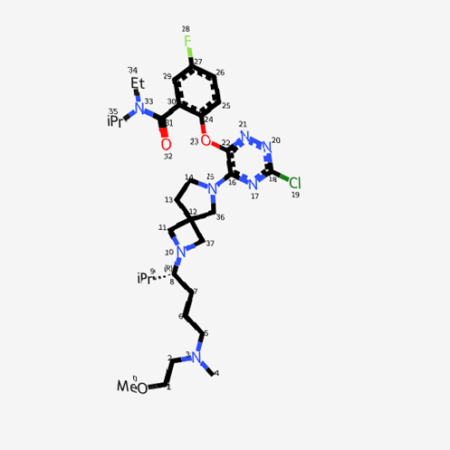 COCCN(C)CCC[C@H](C(C)C)N1CC2(CCN(c3nc(Cl)nnc3Oc3ccc(F)cc3C(=O)N([13CH2][13CH3])[13CH]([13CH3])[13CH3])C2)C1